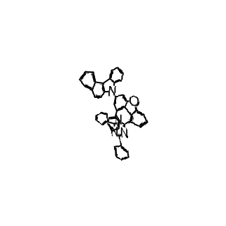 c1ccc(-c2nc(-c3ccccc3)nc(-c3cccc4oc5cc(-n6c7ccccc7c7c8ccccc8ccc76)cc(-c6ccccc6)c5c34)n2)cc1